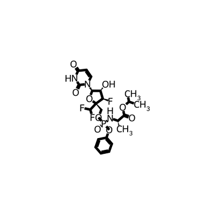 CC(C)OC(=O)[C@H](C)NP(=O)(OC[C@@]1(C(F)F)O[C@@H](n2ccc(=O)[nH]c2=O)[C@H](O)[C@H]1F)Oc1ccccc1